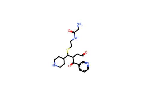 NCC(=O)NCCSC(C1CCNCC1)C(CC=O)C(=O)c1cccnc1